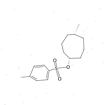 Cc1ccc(S(=O)(=O)O[C@H]2CCC[C@@H](C)CCC2)cc1